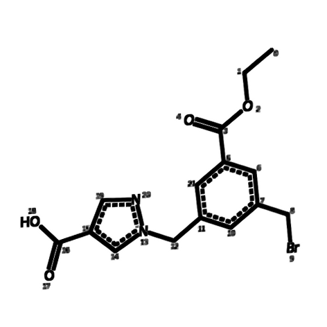 CCOC(=O)c1cc(CBr)cc(Cn2cc(C(=O)O)cn2)c1